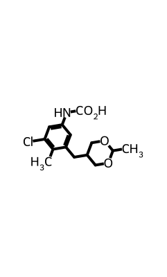 Cc1c(Cl)cc(NC(=O)O)cc1CC1COC(C)OC1